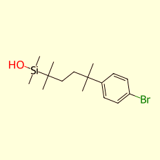 CC(C)(CCC(C)(C)[Si](C)(C)O)c1ccc(Br)cc1